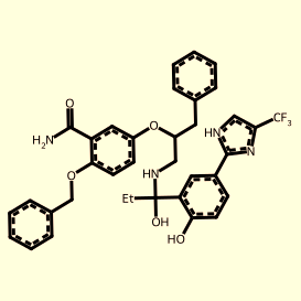 CCC(O)(NCC(Cc1ccccc1)Oc1ccc(OCc2ccccc2)c(C(N)=O)c1)c1cc(-c2nc(C(F)(F)F)c[nH]2)ccc1O